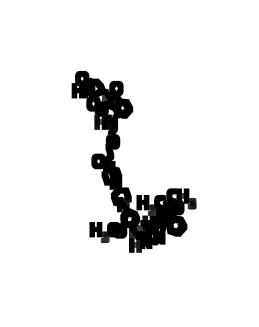 COc1cc(N2CCC(N3CCN(C(=O)CCOCCNc4cccc5c4C(=O)N(C4CCC(=O)NC4=O)C5=O)CC3)CC2)ccc1Nc1ncnc(Nc2ccccc2S(=O)(=O)C(C)C)n1